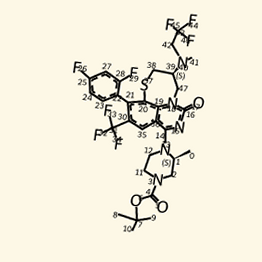 C[C@H]1CN(C(=O)OC(C)(C)C)CCN1c1nc(=O)n2c3c(c(-c4ccc(F)cc4F)c(C(F)(F)F)cc13)SC[C@@H](N(C)CC(F)(F)F)C2